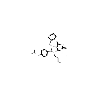 Cn1c2c(c(=O)[nH]c1=O)N(Cc1ccccc1)C(c1ccc(OC(F)F)cc1)N2CCCO